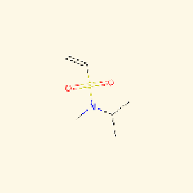 C=CS(=O)(=O)N(C)C(C)C